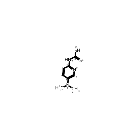 CN(C)c1ccc(NC(=S)S)nc1